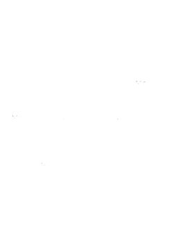 COc1ccc(CC(CCS(N)(=O)=O)Cc2ccc(OC)cc2)cc1